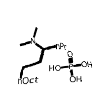 CCCCCCCCCCC(CCC)N(C)C.O=P(O)(O)O